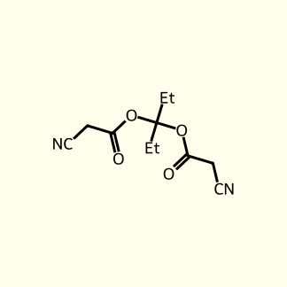 CCC(CC)(OC(=O)CC#N)OC(=O)CC#N